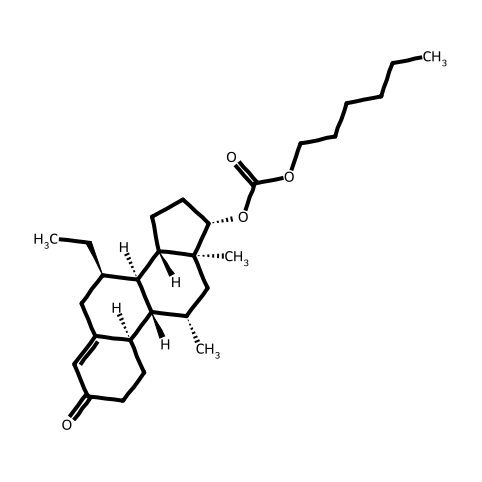 CCCCCCOC(=O)O[C@H]1CC[C@H]2[C@@H]3[C@H](CC)CC4=CC(=O)CC[C@@H]4[C@H]3[C@@H](C)C[C@]12C